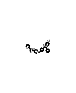 Clc1ccn2c(-c3ccccc3)c(-c3ccc(CN4CCC(c5nnc(-c6ccccn6)[nH]5)CC4)cc3)nc2c1